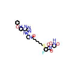 Nc1ncnc2c1c(-c1ccc(Oc3ccccc3)cc1)nn2C1CCCN(C(=O)CCCCCCCSc2cc(F)cc3c2C(=O)N(C2CCC(=O)NC2=O)C3=O)C1